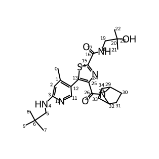 Cc1cc(NCC(C)(C)C)ncc1-c1sc(C(=O)NCC(C)(C)O)nc1C(=O)N1C2CCC1CC2